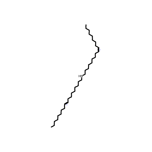 CCCCCCCC/C=C\CCCCCCCCNCCCCCCCC/C=C/CCCCCCCC